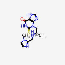 C[C@@H](Cn1c(=S)[nH]c(=O)c2[nH]cnc21)NCc1nccn1C